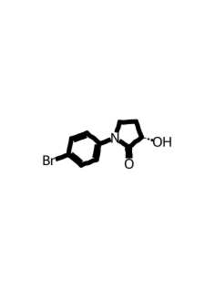 O=C1[C@@H](O)CCN1c1ccc(Br)cc1